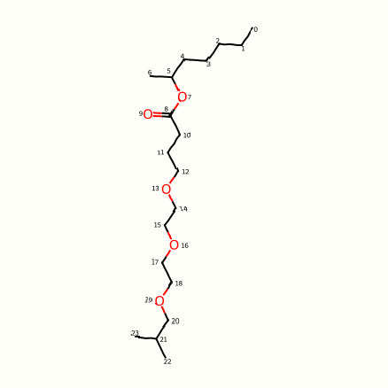 CCCCCC(C)OC(=O)CCCOCCOCCOCC(C)C